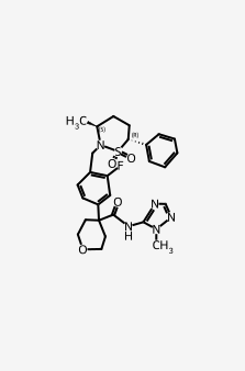 C[C@H]1CC[C@H](c2ccccc2)S(=O)(=O)N1Cc1ccc(C2(C(=O)Nc3ncnn3C)CCOCC2)cc1F